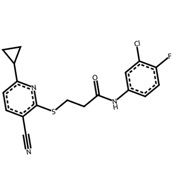 N#Cc1ccc(C2CC2)nc1SCCC(=O)Nc1ccc(F)c(Cl)c1